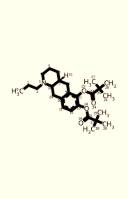 CCCN1CCC[C@@H]2Cc3c(ccc(OC(=O)C(C)(C)C)c3OC(=O)C(C)(C)C)CC21